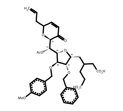 C=CCC1C=CC(=O)[C@@H]([C@@H](OC(C)=O)[C@@H]2O[C@H](CC(CCC(=O)O)CC(=O)O)[C@H](OCc3ccccc3)[C@H]2OCc2ccc(OC)cc2)O1